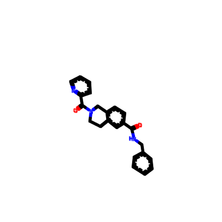 O=C(NCc1ccccc1)c1ccc2c(c1)CCN(C(=O)c1ccccn1)C2